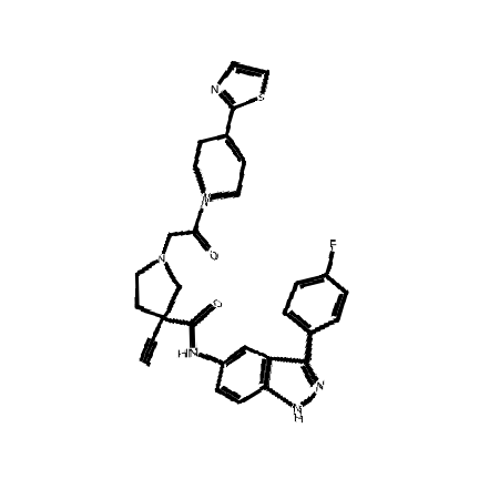 C#CC1(C(=O)Nc2ccc3[nH]nc(-c4ccc(F)cc4)c3c2)CCN(CC(=O)N2CC=C(c3nccs3)CC2)C1